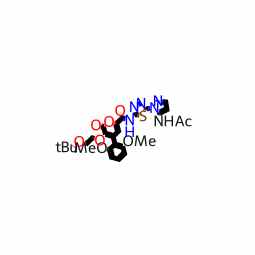 COc1cccc(OC)c1-c1cc(C(=O)Nc2nnc(-n3nccc3NC(C)=O)s2)oc(=O)c1OCCOC(C)(C)C